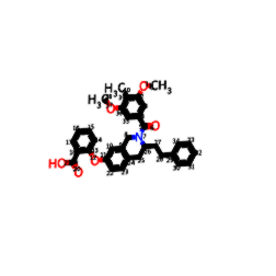 COc1cc(C(=O)N2Cc3cc(Oc4ccccc4C(=O)O)ccc3CC2CCc2ccccc2)cc(OC)c1C